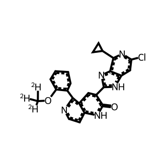 [2H]C([2H])([2H])Oc1ccccc1-c1nccc2[nH]c(=O)c(-c3nc4c(C5CC5)nc(Cl)cc4[nH]3)cc12